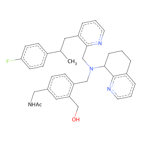 CC(=O)NCc1ccc(CN(Cc2ncccc2CC(C)c2ccc(F)cc2)C2CCCc3cccnc32)c(CO)c1